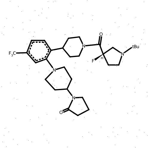 CC(C)(C)N1CC[C@](F)(C(=O)N2CCC(c3ccc(C(F)(F)F)cc3N3CCC(N4CCCC4=O)CC3)CC2)C1